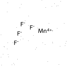 [F-].[F-].[F-].[F-].[Mn+4]